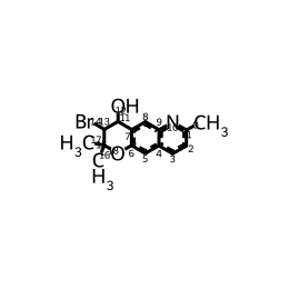 Cc1ccc2cc3c(cc2n1)C(O)C(Br)C(C)(C)O3